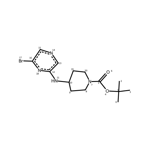 CC(C)(C)OC(=O)N1CCC(Nc2cncc(Br)n2)CC1